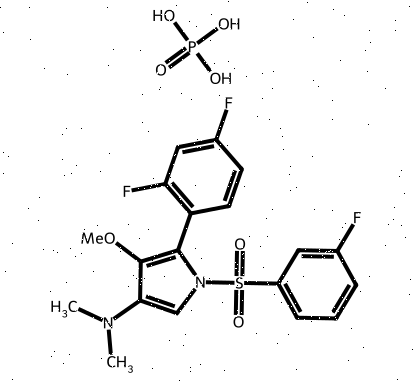 COc1c(N(C)C)cn(S(=O)(=O)c2cccc(F)c2)c1-c1ccc(F)cc1F.O=P(O)(O)O